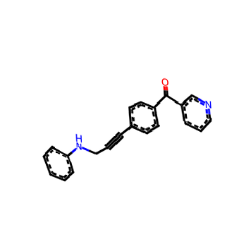 O=C(c1ccc(C#CCNc2ccccc2)cc1)c1cccnc1